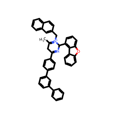 CC1=[N+](Cc2ccc3ccccc3c2)C(c2cccc3oc4ccccc4c23)N=C(c2ccc(-c3cccc(-c4ccccc4)c3)cc2)C1